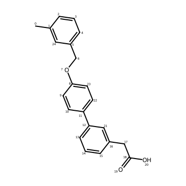 Cc1cccc(COc2ccc(-c3cccc(CC(=O)O)c3)cc2)c1